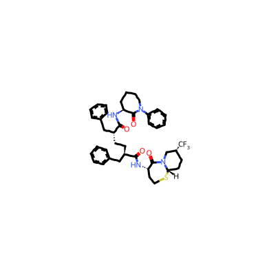 O=C(N[C@H]1CCCCN(c2ccccc2)C1=O)[C@H](CC[C@H](Cc1ccccc1)C(=O)N[C@H]1CCS[C@H]2CC[C@@H](C(F)(F)F)CN2C1=O)Cc1ccccc1